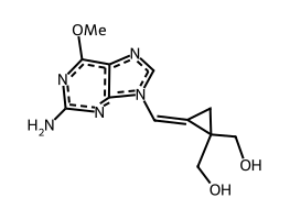 COc1nc(N)nc2c1ncn2C=C1CC1(CO)CO